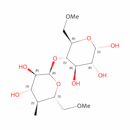 COC[C@H]1O[C@H](O[C@H]2[C@H](O)[C@@H](O)[C@@H](O)O[C@@H]2COC)[C@H](O)[C@@H](O)[C@@H]1C